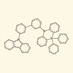 c1ccc([Si]2(c3ccccc3)c3ccccc3N(c3cccc(-c4cccc(-n5c6ccccc6c6ccccc65)c4)c3)c3ccccc32)cc1